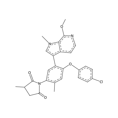 COc1nccc2c(-c3cc(N4C(=O)CC(C)C4=O)c(C)cc3Oc3ccc(Cl)cc3)cn(C)c12